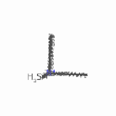 CCCCCCCCCCCCCCCCCCCC[N+](C)(CCC[SiH3])CCCCCCCCCCCCCCCCCCCC